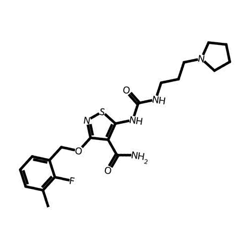 Cc1cccc(COc2nsc(NC(=O)NCCCN3CCCC3)c2C(N)=O)c1F